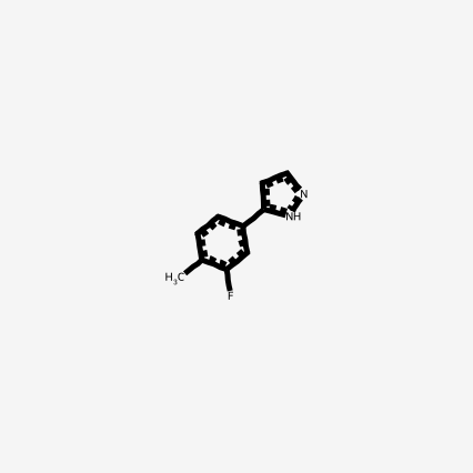 Cc1ccc(-c2ccn[nH]2)cc1F